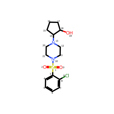 O=S(=O)(c1ccccc1Cl)N1CCN(C2CCCC2O)CC1